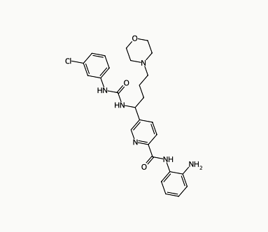 Nc1ccccc1NC(=O)c1ccc(C(CCCN2CCOCC2)NC(=O)Nc2cccc(Cl)c2)cn1